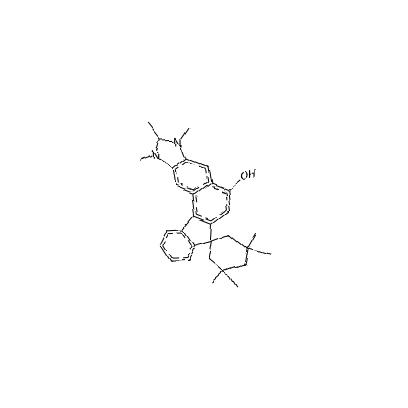 CC1N(C)c2cc3c(O)cc4c(c3cc2N1C)-c1ccccc1C41CC(C)(C)CC(C)(C)C1